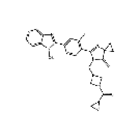 Cn1c(-c2ccc(C3=NC4(CC4)C(=O)N3CC3CN(C(=O)C4CC4)C3)c(F)c2)nc2ccccc21